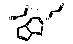 C1=Cc2ccccc2C1.C=CC#N.C=CC=O